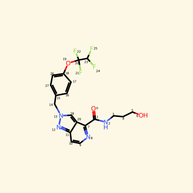 O=C(NCCCO)c1nccc2nn(Cc3ccc(OC(F)(F)C(F)F)cc3)cc12